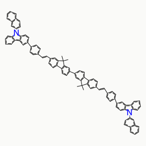 CC1(C)c2cc(/C=C/c3ccc(-c4ccc5c(c4)c4ccccc4n5-c4ccc5ccccc5c4)cc3)ccc2-c2ccc(-c3ccc4c(c3)C(C)(C)c3cc(/C=C/c5ccc(-c6ccc7c(c6)c6ccccc6n7-c6ccc7ccccc7c6)cc5)ccc3-4)cc21